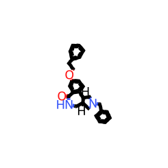 O=C1NC[C@H]2CN(Cc3ccccc3)C[C@@H]2c2ccc(OCCc3ccccc3)cc21